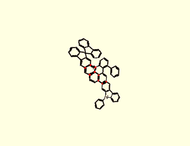 c1ccc(-c2ccccc2-c2c(-c3ccccc3)cccc2N(c2cccc(-c3ccc4c5ccccc5n(-c5ccccc5)c4c3)c2)c2ccc3c(c2)C2(c4ccccc4-c4ccccc42)c2ccccc2-3)cc1